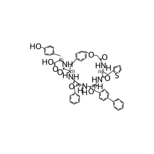 O=C1COc2ccc(cc2)C[C@@H](C(=O)N[C@@H](Cc2ccc(O)cc2)C(=O)O)NC(=O)[C@H](Cc2ccccc2)NC(=O)[C@@H](Cc2ccc(-c3ccccc3)cc2)NC(=O)[C@H](Cc2cccs2)N1